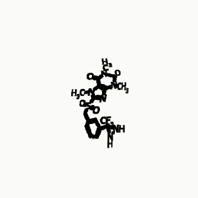 Cn1c(=O)c2c(nc(S(=O)(=O)Cc3cccc(C4(C(F)(F)F)NN4)c3)n2C)n(C)c1=O